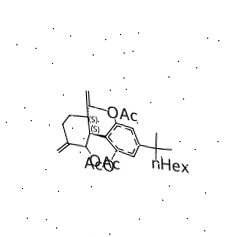 C=C1CC[C@H](C(=C)C)[C@@H](c2c(OC(C)=O)cc(C(C)(C)CCCCCC)cc2OC(C)=O)C1OC(C)=O